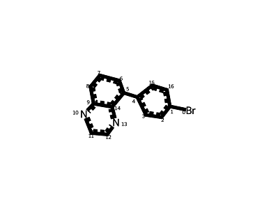 Brc1ccc(-c2cccc3nccnc23)cc1